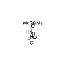 COc1ccc(CCNC(=O)CN2C(=O)C(c3ccccc3)c3ccccc32)cc1OC